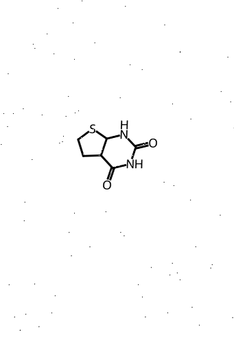 O=C1NC(=O)C2CCSC2N1